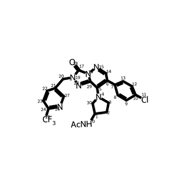 CC(=O)NC1CCN(c2c(-c3ccc(Cl)cc3)cnn3c(=O)n(Cc4ccc(C(F)(F)F)nc4)nc23)C1